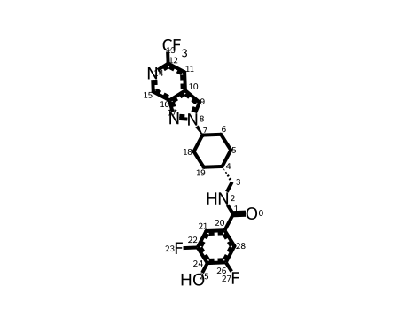 O=C(NC[C@H]1CC[C@H](n2cc3cc(C(F)(F)F)ncc3n2)CC1)c1cc(F)c(O)c(F)c1